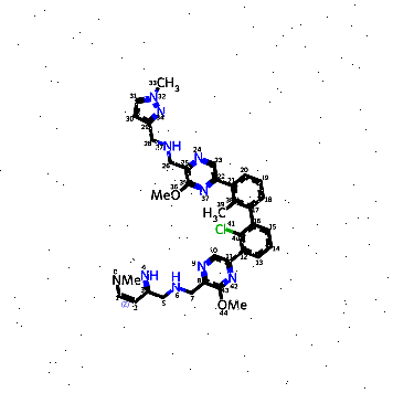 CN/C=C\C(=N)CNCc1ncc(-c2cccc(-c3cccc(-c4cnc(CNCc5ccn(C)n5)c(OC)n4)c3C)c2Cl)nc1OC